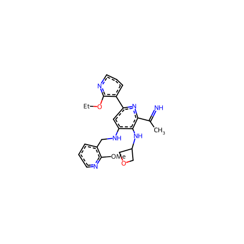 CCOc1ncccc1-c1cc(NCc2cccnc2OC)c(NC2COC2)c(C(C)=N)n1